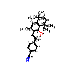 COc1c(C=Cc2ccc(C#N)cc2)c(C)cc2c1C(C)(C)CCC2(C)C